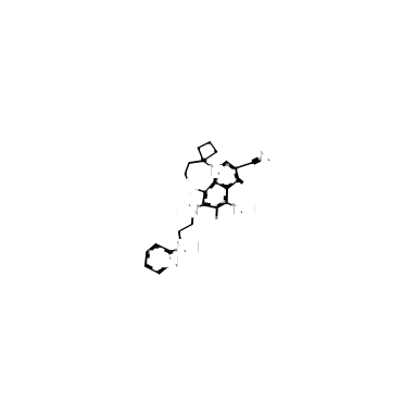 N#Cc1cn2c3c(c(NCCNc4ccccn4)c(F)c(N)c3c1=O)OCCC21CCC1